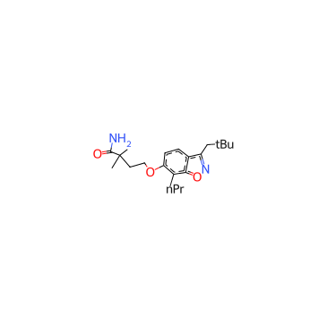 CCCc1c(OCCC(C)(C)C(N)=O)ccc2c(CC(C)(C)C)noc12